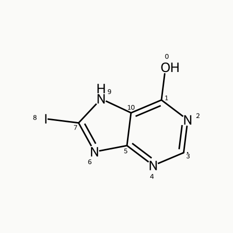 Oc1n[c]nc2nc(I)[nH]c12